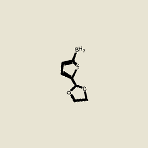 Bc1ccc(C2OCCO2)s1